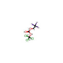 O=C(OCC(I)(I)I)OC(Cl)(Cl)Cl